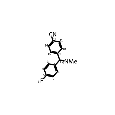 CNC(c1ccc(F)cc1)c1ccc(C#N)cc1